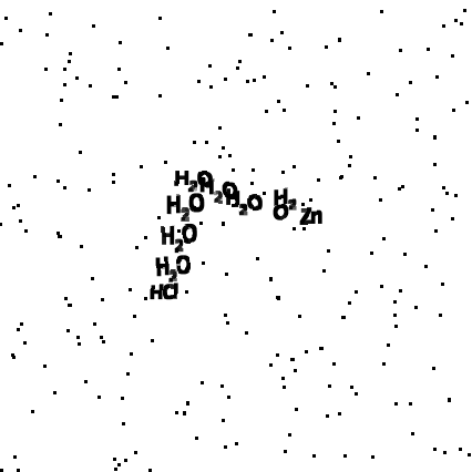 Cl.O.O.O.O.O.O.O.[Zn]